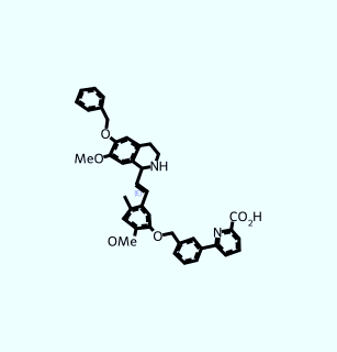 COc1cc(C)c(/C=C/C2NCCc3cc(OCc4ccccc4)c(OC)cc32)cc1OCc1cccc(-c2cccc(C(=O)O)n2)c1